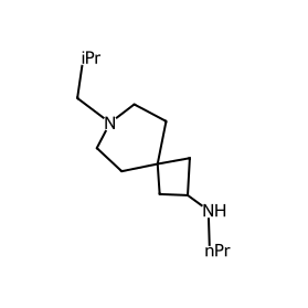 CCCNC1CC2(CCN(CC(C)C)CC2)C1